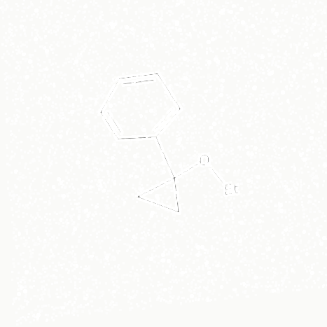 CCOC1(c2cc[c]cc2)CC1